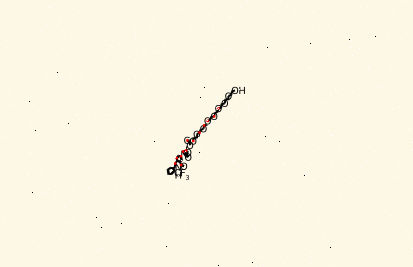 O=C(OCCOCCOCCOCCOCCOCCOCCOCCO)OC[C@@H]1CN(c2ccc3cc(-c4ccccc4C(F)(F)F)[nH]c(=O)c3c2)C(=O)O1